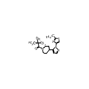 Cc1nc(-n2nccc2C2CCN(C(=O)C(C)(O)C(F)(F)F)CC2)cs1